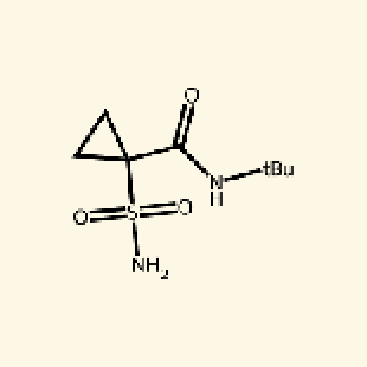 CC(C)(C)NC(=O)C1(S(N)(=O)=O)CC1